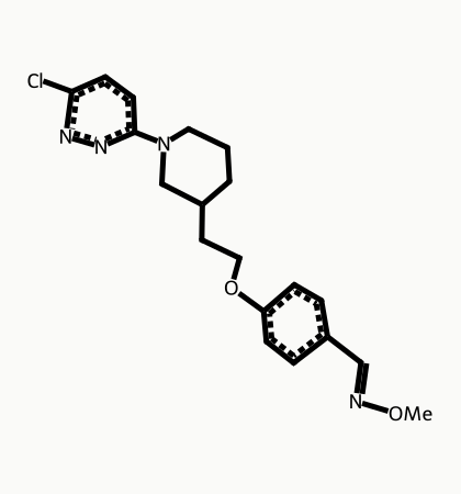 CON=Cc1ccc(OCCC2CCCN(c3ccc(Cl)nn3)C2)cc1